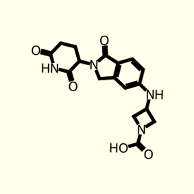 O=C1CCC(N2Cc3cc(NC4CN(C(=O)O)C4)ccc3C2=O)C(=O)N1